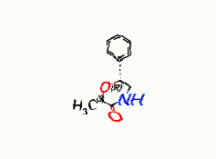 C[C@@H]1O[C@H](c2ccccc2)CNC1=O